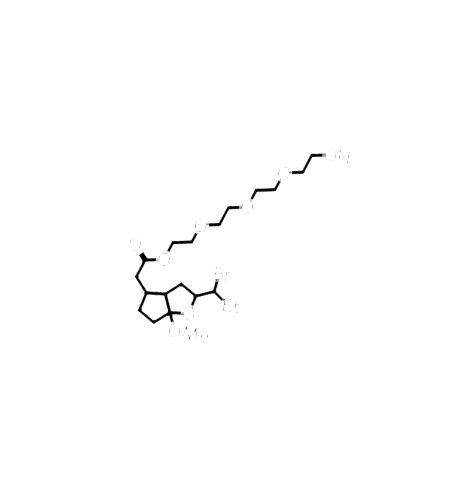 CCC(Br)C1CC2C(CC(=O)OCCOCCOCCOCCO)CCC2(OC)O1